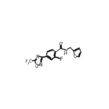 O=C(NCc1ccco1)c1ccc(-c2noc(C(F)(F)F)n2)cc1F